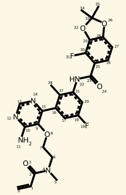 C=CC(=O)N(C)CCOc1c(N)ncnc1-c1cc(F)cc(NC(=O)c2ccc3c(c2F)OC(C)(C)O3)c1C